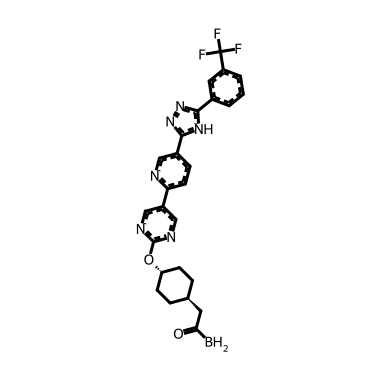 BC(=O)C[C@H]1CC[C@H](Oc2ncc(-c3ccc(-c4nnc(-c5cccc(C(F)(F)F)c5)[nH]4)cn3)cn2)CC1